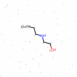 CNCCNCCO